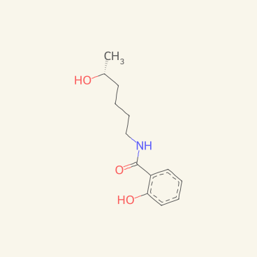 C[C@@H](O)CCCCNC(=O)c1ccccc1O